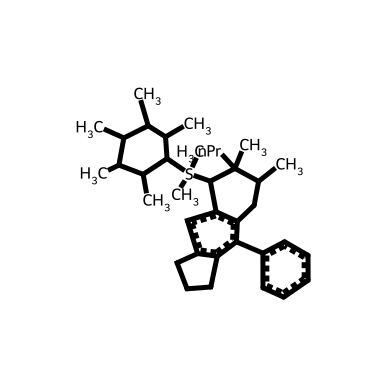 CCCC1(C)C(C)Cc2c(cc3c(c2-c2ccccc2)CCC3)C1S(C)(C)C1C(C)C(C)C(C)C(C)C1C